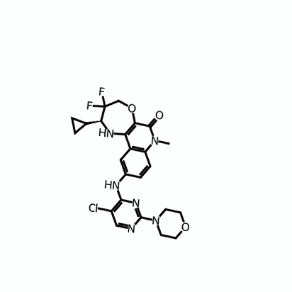 Cn1c(=O)c2c(c3cc(Nc4nc(N5CCOCC5)ncc4Cl)ccc31)N[C@@H](C1CC1)C(F)(F)CO2